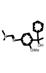 COc1cc(/N=C/N(C)C)ccc1C(C)(O)c1ccccc1